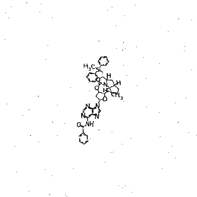 CC[C@H]1O[C@@H](n2cnc3c(NC(=O)c4ccccc4)ncnc32)CC1OP1O[C@H](C[Si](C)(c2ccccc2)c2ccccc2)[C@@H]2C[C@@H]3CCC[C@@H]3N21